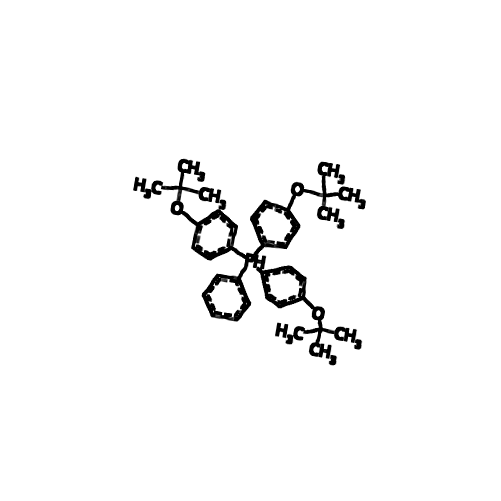 CC(C)(C)Oc1ccc([PH](c2ccccc2)(c2ccc(OC(C)(C)C)cc2)c2ccc(OC(C)(C)C)cc2)cc1